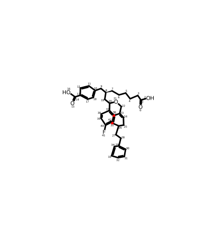 O=C(O)CCCCC[C@H](Cc1ccc(C(=O)O)cc1)CC(OCC1=CCC(CCc2ccccc2)C=C1)c1ccc(F)cc1